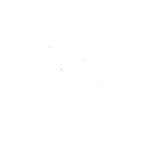 CC(C)Nc1cnc(C(C)(C)C)cn1